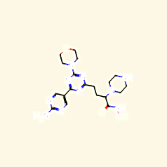 Nc1ncc(-c2nc(CCC(C(=O)NO)N3CCNCC3)nc(N3CCOCC3)n2)cn1